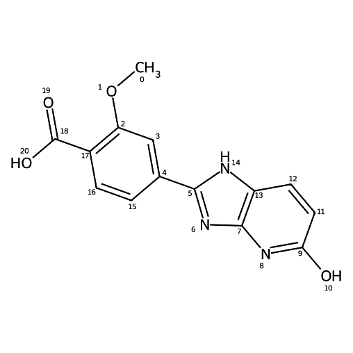 COc1cc(-c2nc3nc(O)ccc3[nH]2)ccc1C(=O)O